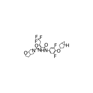 O=C(Nc1cc(F)c(O[C@@H]2CC3C[C@@H]3C2)c(F)c1)c1nc(N2CC3CCOC3C2)oc1CC(F)(F)F